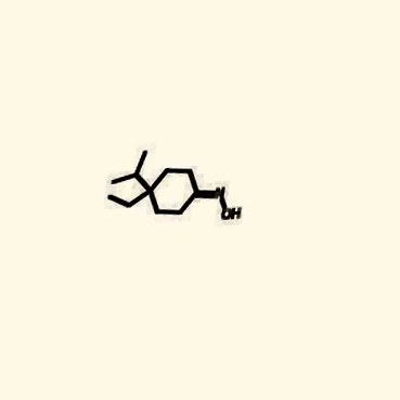 CCC1(C(C)C)CCC(=NO)CC1